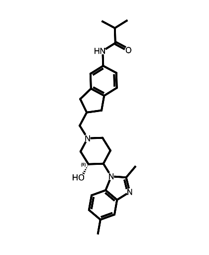 Cc1ccc2c(c1)nc(C)n2C1CCN(CC2Cc3ccc(NC(=O)C(C)C)cc3C2)C[C@H]1O